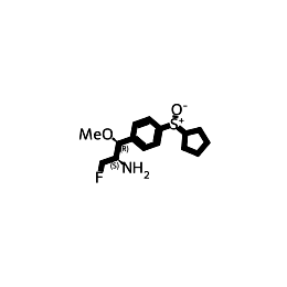 CO[C@H](c1ccc([S+]([O-])C2CCCC2)cc1)[C@H](N)CF